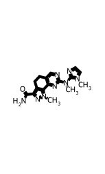 CN(c1ncc2c(n1)-c1c(c(C(N)=O)nn1C)CC2)c1nccn1C